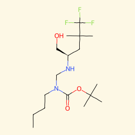 CCCCN(CN[C@@H](CO)CC(C)(C)C(F)(F)F)C(=O)OC(C)(C)C